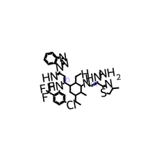 CCC1CC(/C(=C/C(=N)n2nnc3ccccc32)Nc2cc(Cl)ccc2C(F)(F)F)C(CC)C(N/C=C(\NN)C2=NC(C)CS2)C1C